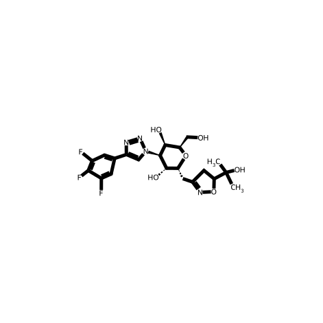 CC(C)(O)C1CC(C[C@H]2O[C@H](CO)[C@H](O)[C@H](n3cc(-c4cc(F)c(F)c(F)c4)nn3)[C@H]2O)=NO1